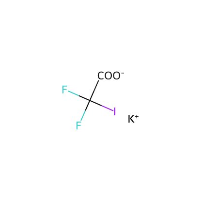 O=C([O-])C(F)(F)I.[K+]